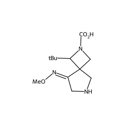 CON=C1CNCC12CN(C(=O)O)C2C(C)(C)C